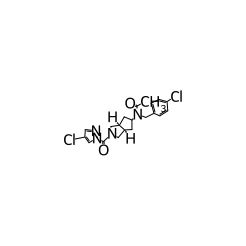 CC(=O)N(Cc1ccc(Cl)cc1)[C@H]1C[C@@H]2CN(C(=O)n3cc(Cl)cn3)C[C@@H]2C1